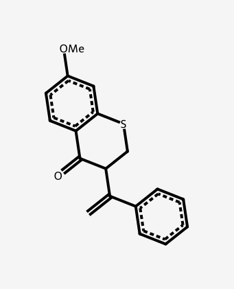 C=C(c1ccccc1)C1CSc2cc(OC)ccc2C1=O